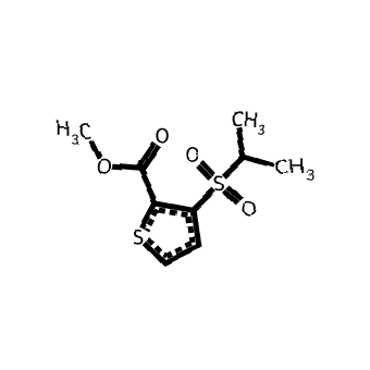 COC(=O)c1sccc1S(=O)(=O)C(C)C